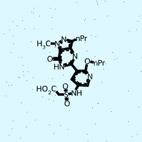 CCCOc1ncc(NS(=O)(=O)CC(=O)O)cc1-c1nc2c(CCC)nn(C)c2c(=O)[nH]1